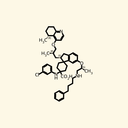 C[C@@H](COc1ccnc2c1[C@H](C)CCC2)C[C@H]1Cc2ccc(O[C@@H](C)CNCCCCc3ccccc3)cc2C12CCC(Nc1cccc(Cl)c1)(C(=O)O)CC2